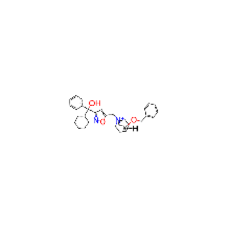 OC(c1ccccc1)(c1cc(C[N+]23CCC(CC2)[C@@H](OCc2ccccc2)C3)on1)C1CCCCC1